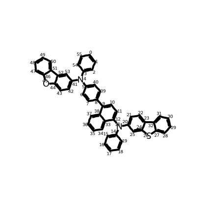 c1ccc(N(c2ccc(-c3ccc(N(c4ccccc4)c4ccc5c(c4)sc4ccccc45)c4ccccc34)cc2)c2ccc3oc4ccccc4c3c2)cc1